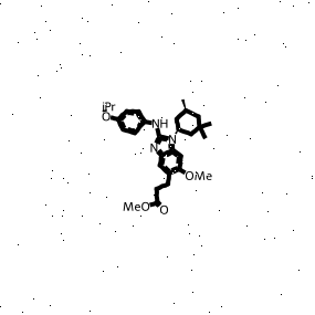 COC(=O)CCc1cc2nc(Nc3ccc(OC(C)C)cc3)n([C@@H]3C[C@@H](C)CC(C)(C)C3)c2cc1OC